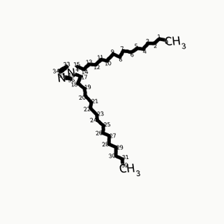 CCCCCCCCCCCCCCCC[N+]1(CCCCCCCCCCCCCCCC)C=CN=C1